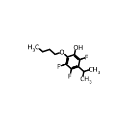 CCCCOc1c(O)c(F)c(C(C)C)c(F)c1F